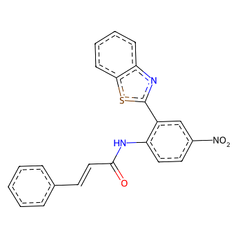 O=C(/C=C/c1ccccc1)Nc1ccc([N+](=O)[O-])cc1-c1nc2ccccc2s1